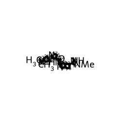 CN/C=C(\N=N)c1ccc2cnc(NC(=O)c3ccnc(N4CCC(N(C)C)CC4)c3)cc2c1